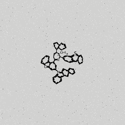 C[C@H]1C(c2cccc3ccccc23)=CCC(c2cc(-n3c4ccccc4c4cc5ccccc5cc43)cc3oc4ccccc4c23)=NC1c1ccc2c(c1)sc1ccccc12